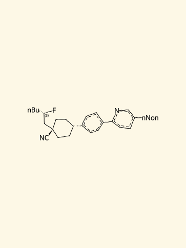 CCCCCCCCCc1ccc(-c2ccc([C@H]3CC[C@@](C#N)(C[C@@H](F)CCCC)CC3)cc2)nc1